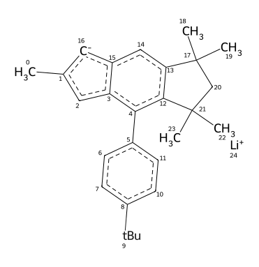 Cc1cc2c(-c3ccc(C(C)(C)C)cc3)c3c(cc2[cH-]1)C(C)(C)CC3(C)C.[Li+]